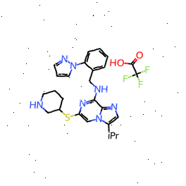 CC(C)c1cnc2c(NCc3ccccc3-n3cccn3)nc(SC3CCCNC3)cn12.O=C(O)C(F)(F)F